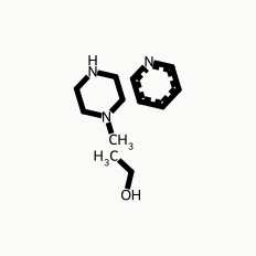 CCO.CN1CCNCC1.c1ccncc1